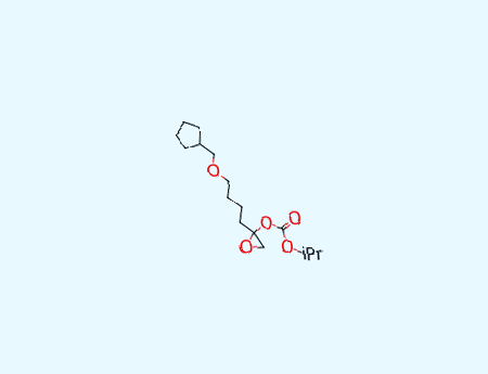 CC(C)OC(=O)OC1(CCCCOCC2CCCC2)CO1